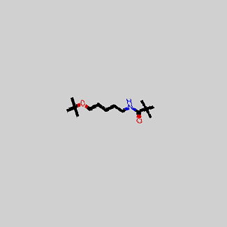 CC(C)(C)OCCCCCNC(=O)C(C)(C)C